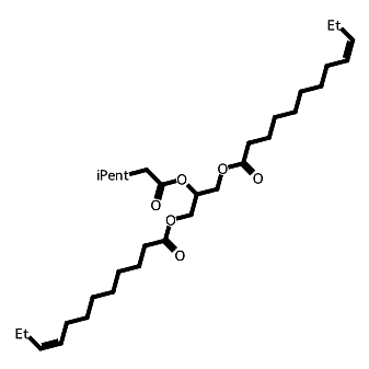 CC/C=C\CCCCCCCC(=O)OCC(COC(=O)CCCCCCC/C=C\CC)OC(=O)CC(C)CCC